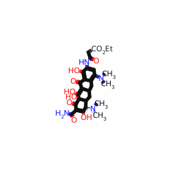 CCOC(=O)CC(=O)Nc1cc(N(C)C)c2c(c1O)C(=O)C1=C(O)C3(O)C(=O)C(C(N)=O)=C(O)[C@@H](N(C)C)C3CC1C2